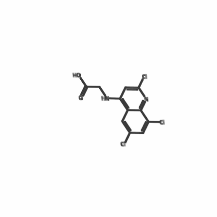 O=C(O)CNc1cc(Cl)nc2c(Cl)cc(Cl)cc12